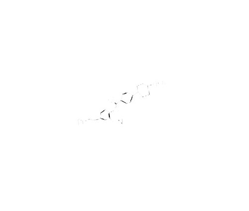 CCCCCCCCC1CCC(c2ccc(C(=O)Oc3ccc(CCC(C)C)cc3C#N)cc2)CC1